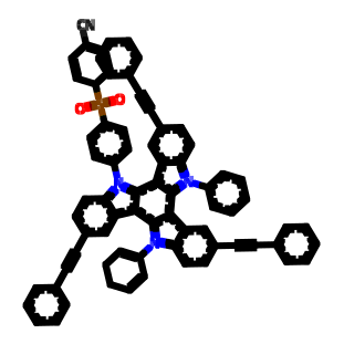 N#CC1=CCC(S(=O)(=O)c2ccc(-n3c4ccc(C#Cc5ccccc5)cc4c4c5c(c6cc(C#Cc7ccccc7)ccc6n5C5=CCCC=C5)c5c(c6cc(C#Cc7ccccc7)ccc6n5-c5ccccc5)c43)cc2)C=C1